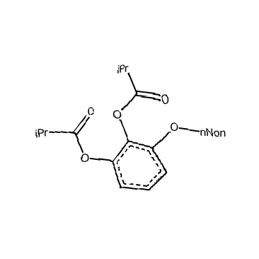 CCCCCCCCCOc1cccc(OC(=O)C(C)C)c1OC(=O)C(C)C